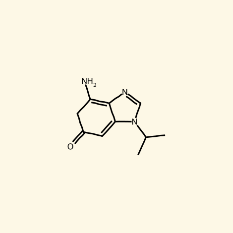 CC(C)n1cnc2c1=CC(=O)CC=2N